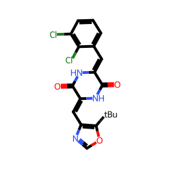 CC(C)(C)c1ocnc1C=c1[nH]c(=O)c(=Cc2cccc(Cl)c2Cl)[nH]c1=O